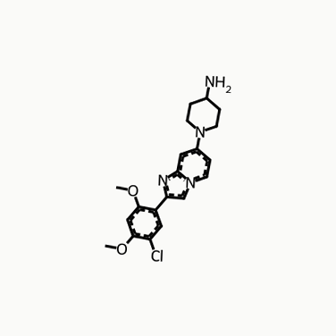 COc1cc(OC)c(-c2cn3ccc(N4CCC(N)CC4)cc3n2)cc1Cl